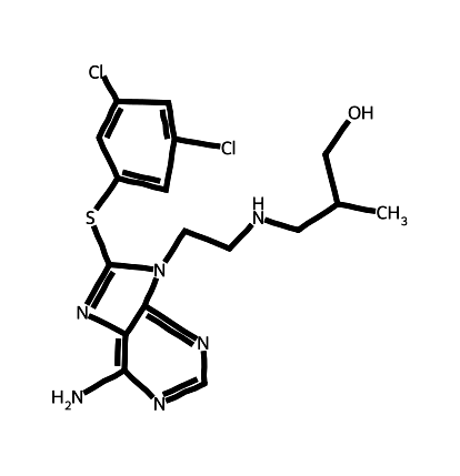 CC(CO)CNCCn1c(Sc2cc(Cl)cc(Cl)c2)nc2c(N)ncnc21